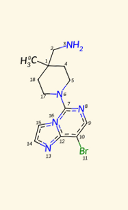 CC1(CN)CCN(c2ncc(Br)c3nccn23)CC1